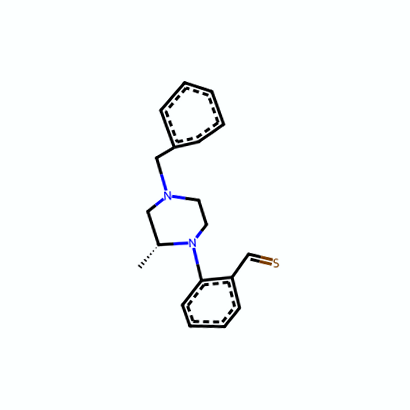 C[C@@H]1CN(Cc2ccccc2)CCN1c1ccccc1C=S